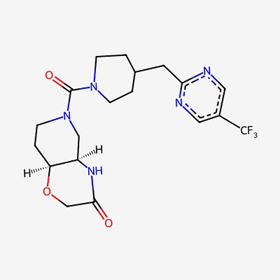 O=C1CO[C@H]2CCN(C(=O)N3CCC(Cc4ncc(C(F)(F)F)cn4)CC3)C[C@H]2N1